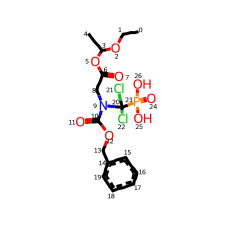 CCOC(C)OC(=O)CN(C(=O)OCc1ccccc1)C(Cl)(Cl)P(=O)(O)O